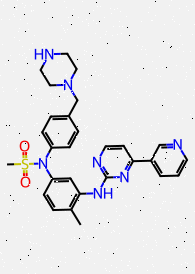 Cc1ccc(N(c2ccc(CN3CCNCC3)cc2)S(C)(=O)=O)cc1Nc1nccc(-c2cccnc2)n1